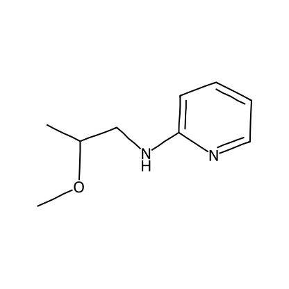 COC(C)CNc1ccccn1